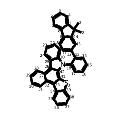 CC1(C)c2ccccc2-c2ccc(-c3ccccc3-n3c4ccccc4c4c5ccccc5c5c6ccccc6sc5c43)cc21